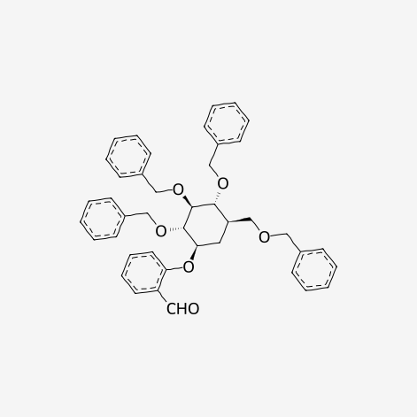 O=Cc1ccccc1O[C@@H]1C[C@H](COCc2ccccc2)[C@@H](OCc2ccccc2)[C@H](OCc2ccccc2)[C@H]1OCc1ccccc1